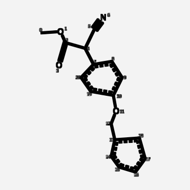 COC(=O)C(C#N)c1ccc(OCc2ccccc2)cc1